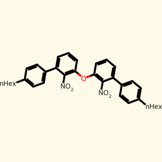 CCCCCCc1ccc(-c2cccc(Oc3cccc(-c4ccc(CCCCCC)cc4)c3[N+](=O)[O-])c2[N+](=O)[O-])cc1